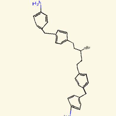 CCCCC(CCc1ccc(Cc2ccc(N)cc2)cc1)CCc1ccc(Cc2ccc(N)cc2)cc1